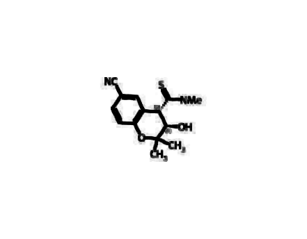 CNC(=S)[C@H]1c2cc(C#N)ccc2OC(C)(C)[C@@H]1O